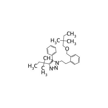 CCC(C)(C)COCc1ccccc1CCn1nnc(C(C)(C)CC)c1-c1ccccc1